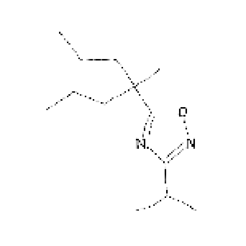 CCCC(C)(CCC)c1nc(C(C)C)no1